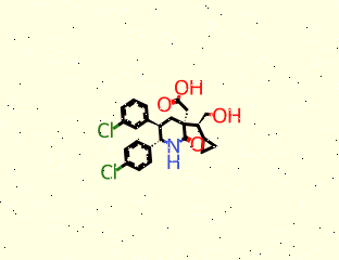 O=C(O)C[C@@]1([C@@H](CO)C2CC2)C[C@H](c2cccc(Cl)c2)[C@@H](c2ccc(Cl)cc2)NC1=O